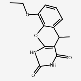 CCOc1cccc2c1Oc1[nH]c(=O)[nH]c(=O)c1C2C